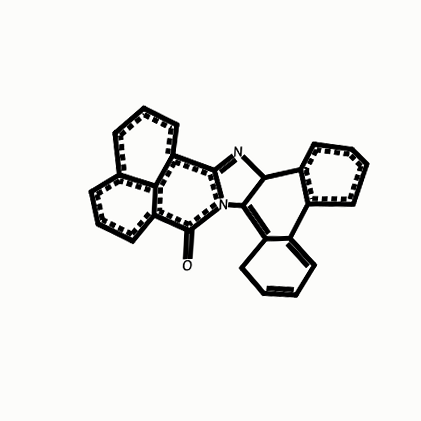 O=c1c2cccc3cccc(c4n1C1=C5CC=CC=C5c5ccccc5C1N=4)c32